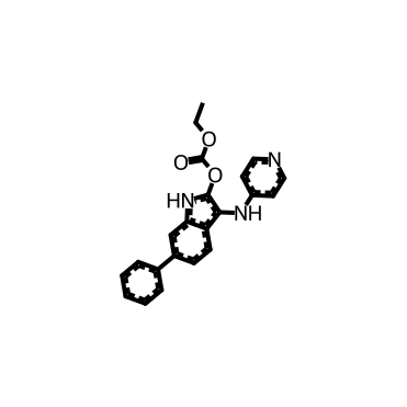 CCOC(=O)Oc1[nH]c2cc(-c3ccccc3)ccc2c1Nc1ccncc1